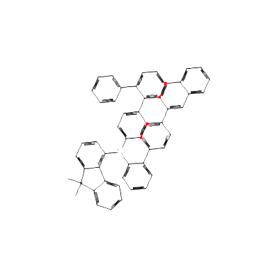 CC1(C)c2ccccc2-c2c(N(c3ccc(-c4ccccc4-c4ccccc4)cc3)c3ccccc3-c3ccc(-c4ccc5ccccc5c4)cc3)cccc21